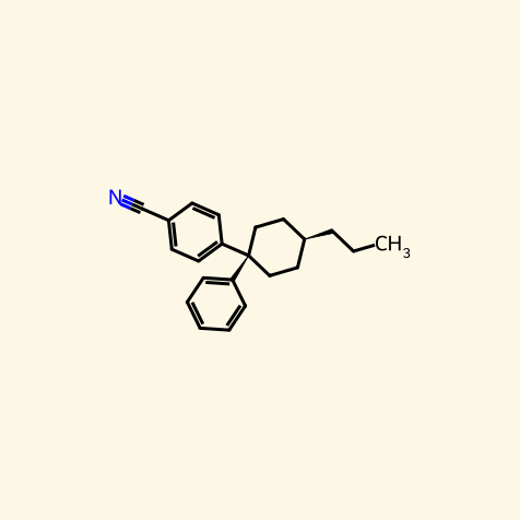 CCC[C@H]1CC[C@](c2ccccc2)(c2ccc(C#N)cc2)CC1